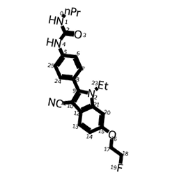 CCCNC(=O)Nc1ccc(-c2c(C#N)c3ccc(OCCF)cc3n2CC)cc1